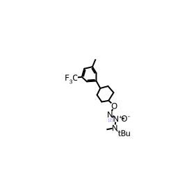 Cc1cc(C2CCC(O/N=[N+](\[O-])N(C)C(C)(C)C)CC2)cc(C(F)(F)F)c1